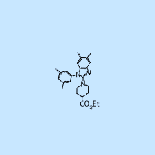 CCOC(=O)C1CCN(c2nc3cc(C)c(C)cc3n2-c2cc(C)cc(C)c2)CC1